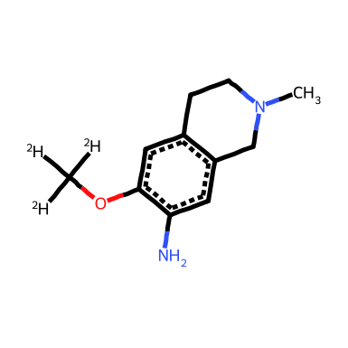 [2H]C([2H])([2H])Oc1cc2c(cc1N)CN(C)CC2